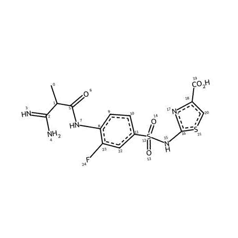 CC(C(=N)N)C(=O)Nc1ccc(S(=O)(=O)Nc2nc(C(=O)O)cs2)cc1F